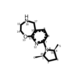 C[C@@H]1CC[C@H](C)N1c1ccc2c(n1)OCCNC2